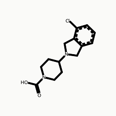 O=C(O)N1CCC(N2Cc3cccc(Cl)c3C2)CC1